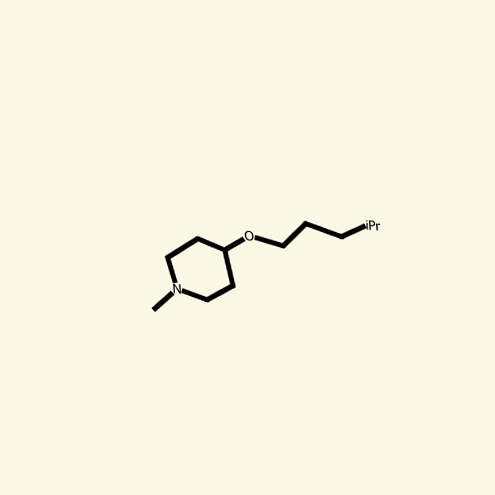 CC(C)CCCOC1CCN(C)CC1